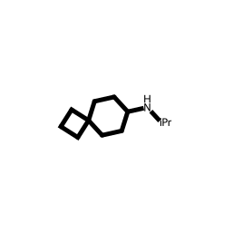 CC(C)NC1CCC2(CCC2)CC1